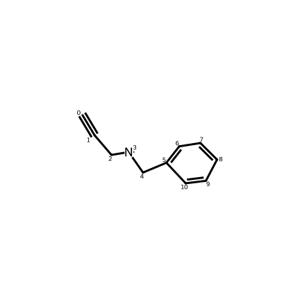 C#CC[N]Cc1ccccc1